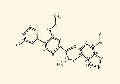 CCOc1cc(C(=O)N(C)Cc2cnc(CF)c3cn[nH]c23)ccc1-c1cccc(Cl)c1